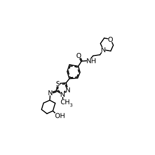 Cn1nc(-c2ccc(C(=O)NCCN3CCOCC3)cc2)s/c1=N/C1CCCC(O)C1